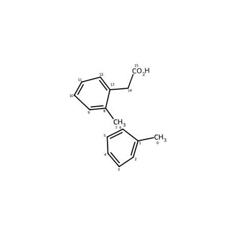 Cc1ccccc1.Cc1ccccc1CC(=O)O